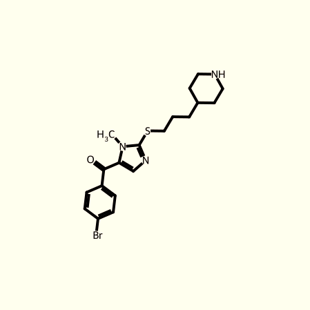 Cn1c(C(=O)c2ccc(Br)cc2)cnc1SCCCC1CCNCC1